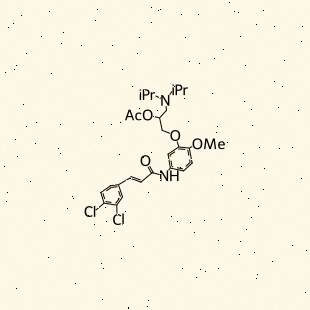 COc1ccc(NC(=O)C=Cc2ccc(Cl)c(Cl)c2)cc1OCC(CN(C(C)C)C(C)C)OC(C)=O